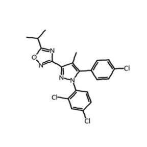 Cc1c(-c2noc(C(C)C)n2)nn(-c2ccc(Cl)cc2Cl)c1-c1ccc(Cl)cc1